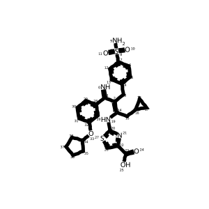 N=C(/C(Cc1ccc(S(N)(=O)=O)cc1)=C(/CC1CC1)Nc1nc(C(=O)O)cs1)c1cccc(OC2CCCC2)c1